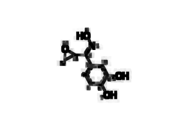 O/N=C(/c1ccc(O)c(O)c1)C1CO1